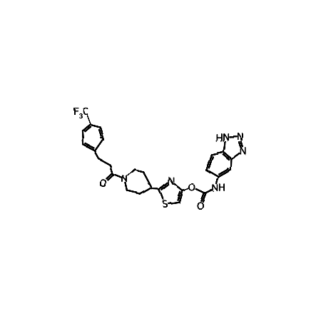 O=C(Nc1ccc2[nH]nnc2c1)Oc1csc(C2CCN(C(=O)CCc3ccc(C(F)(F)F)cc3)CC2)n1